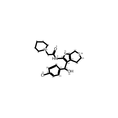 O=C(CN1CCCCC1)Nc1sc2c(c1C(O)c1ccc(Cl)cc1)CCSC2